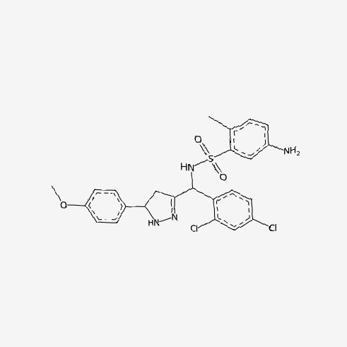 COc1ccc(C2CC(C(NS(=O)(=O)c3cc(N)ccc3C)c3ccc(Cl)cc3Cl)=NN2)cc1